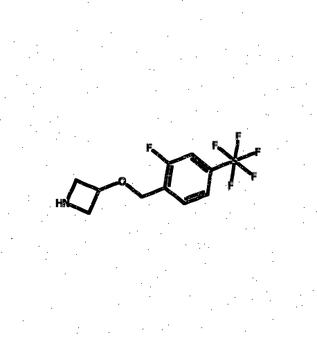 Fc1cc(S(F)(F)(F)(F)F)ccc1COC1CNC1